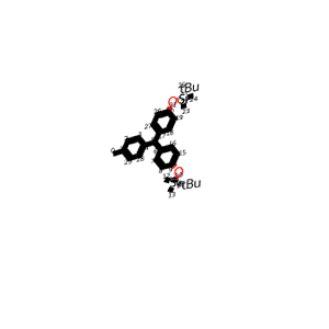 Cc1ccc(C(c2ccc(O[Si](C)(C)C(C)(C)C)cc2)c2ccc(O[Si](C)(C)C(C)(C)C)cc2)cc1